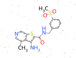 Cc1cncc2sc(C(=O)NCc3cccc(S(C)(=O)=O)c3)c(N)c12